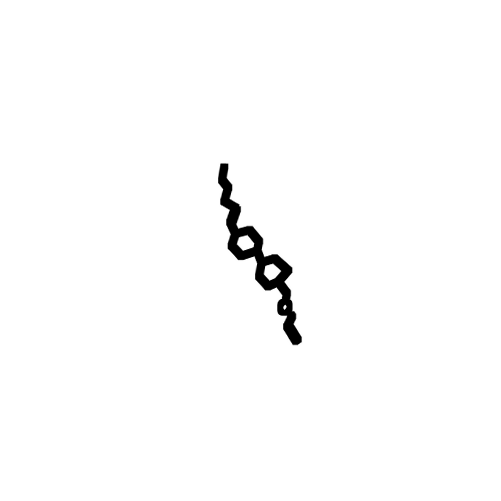 C=CCOCC1CCC(C2CCC(C=CCCCC)CC2)CC1